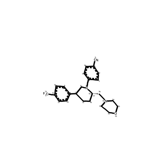 N#Cc1ccc(N2CC(c3ccc(C(F)(F)F)cc3)CC[C@H]2CN2CCOCC2)cc1